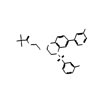 CC(C)(O)C(=O)NCC[C@H]1CN(S(=O)(=O)c2cccc(C(F)(F)F)c2)c2cc(-c3cncc(C(F)(F)F)c3)ccc2O1